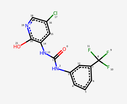 O=C(Nc1cccc(C(F)(F)F)c1)Nc1cc(Cl)cnc1O